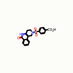 O=C(O)c1ccc(S(=O)(=O)N2CCc3[nH]c(=O)c4ccccc4c3C2)cc1